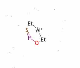 C[CH2][Al+][CH2]C.[O-]P=S